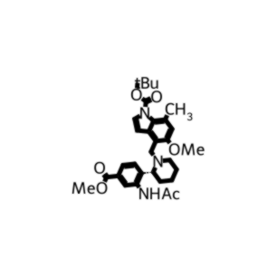 COC(=O)c1ccc([C@H]2CCCCN2Cc2c(OC)cc(C)c3c2ccn3C(=O)OC(C)(C)C)c(NC(C)=O)c1